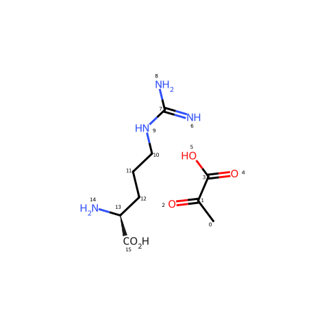 CC(=O)C(=O)O.N=C(N)NCCC[C@H](N)C(=O)O